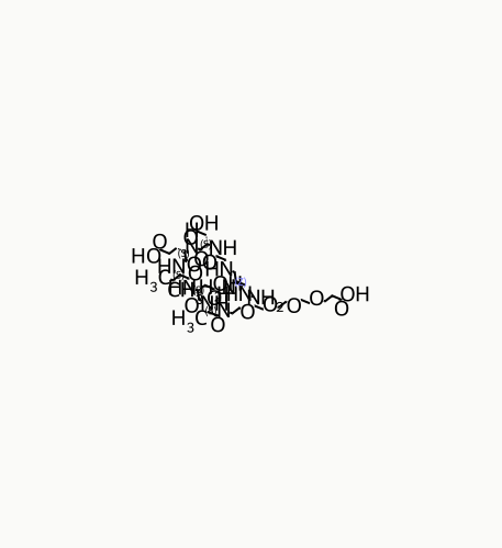 CC(C)[C@H](NC(=O)[C@H](CCC(=O)O)NC(=O)[C@H](CC(=O)O)NC(=O)CNC/C(N)=C/NN)C(=O)N[C@@H](CC(=O)O)C(=O)N[C@@H](C)C(=O)NCCOCCOCCOCCOCCC(=O)O